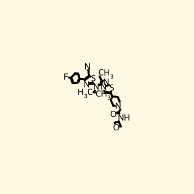 CCc1nc2sc(C3CCN(CC(=O)NC4COC4)CC3)cn2c1N(c1nc(-c2ccc(F)cc2)c(C#N)s1)C(C)C